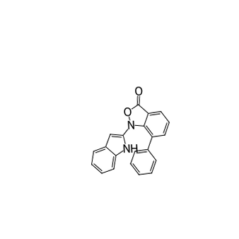 O=c1on(-c2cc3ccccc3[nH]2)c2c(-c3ccccc3)cccc12